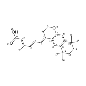 CC(C=CC=C1CCOc2cc3c(cc21)C(C)(C)CCC3(C)C)=CC(=O)O